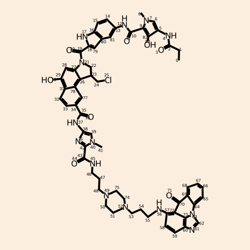 CCC(=O)Nc1cn(C)c(C(=O)Nc2ccc3[nH]c(C(=O)N4CC(CCl)c5c4cc(O)c4ccc(C(=O)Nc6cn(C)c(C(=O)NCCCN7CCN(CCCNc8ccc9ncn%10c%11ccccc%11c(=O)c8c9%10)CC7)n6)cc54)cc3c2)c1O